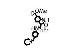 CCCC(Nc1ccc(CN2CCCCC2)cc1)=C1C(=O)Nc2cc(C(=O)OC)ccc21